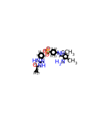 C[C@H]1CC(C)(C)C(CNc2ccc(S(=O)(=O)Oc3ccc4[nH]c(NC(=O)C5CC5)nc4c3)cc2)[C@H]1N